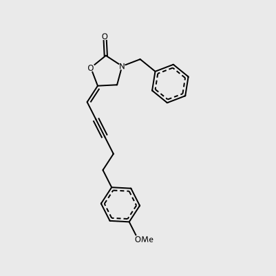 COc1ccc(CCC#C/C=C2\CN(Cc3ccccc3)C(=O)O2)cc1